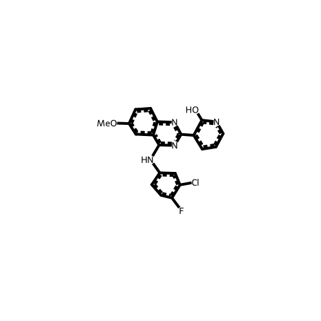 COc1ccc2nc(-c3cccnc3O)nc(Nc3ccc(F)c(Cl)c3)c2c1